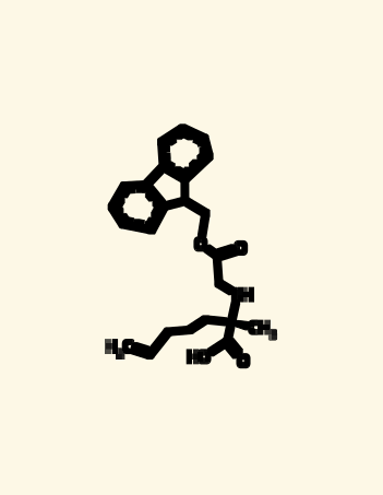 C=CCCC[C@](C)(NCC(=O)OCC1c2ccccc2-c2ccccc21)C(=O)O